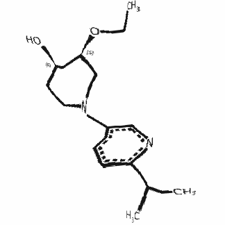 CCO[C@H]1CN(c2ccc(C(C)C)nc2)CC[C@H]1O